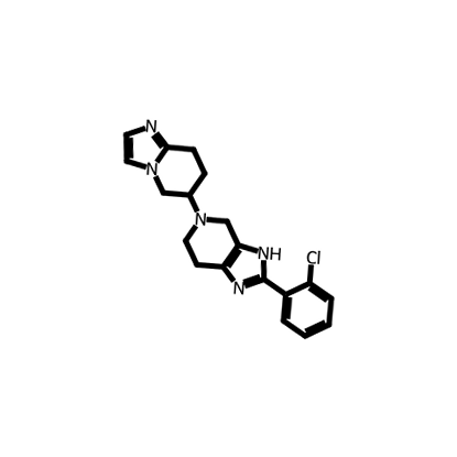 Clc1ccccc1-c1nc2c([nH]1)CN(C1CCc3nccn3C1)CC2